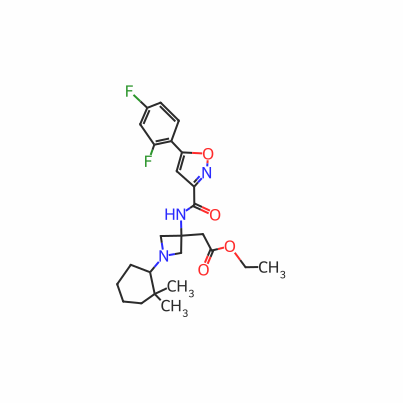 CCOC(=O)CC1(NC(=O)c2cc(-c3ccc(F)cc3F)on2)CN(C2CCCCC2(C)C)C1